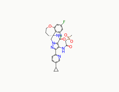 CS(=O)(=O)CC(=O)Nc1c(-c2ccc(C3CC3)cn2)nn2c1C(=O)N[C@@]1(CCCOc3cc(F)cc(F)c31)C2